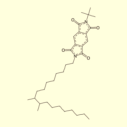 CCCCCCCCC(C)C(C)CCCCCCCCn1c(=O)c2cc3c(=O)n(C(C)(C)C)c(=O)c3cc2c1=O